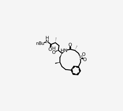 CCCCNC(=O)[C@H](C)C[C@H](O)[C@@H]1C[C@H](C)CCc2cccc(c2)CS(=O)(=O)C[C@@H](C)C(=O)N1